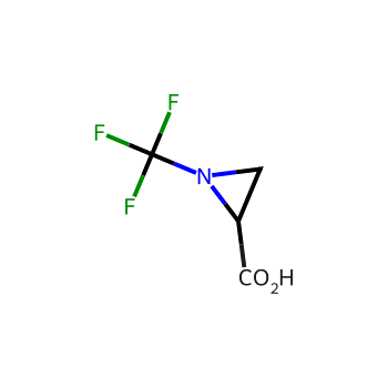 O=C(O)C1CN1C(F)(F)F